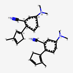 CC1=C(c2ccc(N(C)C)cc2C#N)CC=C1.CC1=CCC(c2ccc(N(C)C)cc2C#N)=C1